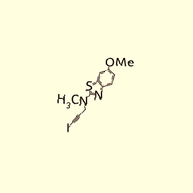 COc1ccc2nc(N(C)CC#CI)sc2c1